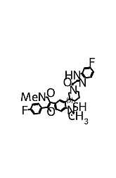 CNC(=O)c1c(-c2ccc(F)cc2)oc2cc(N(C)S)c([C@@H]3CCCN(C(=O)c4nc5ccc(F)cc5[nH]4)C3)cc12